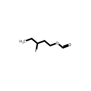 CCC(F)CCOC=O